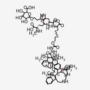 CC[C@@]1(O)CC2C[C@H](CNCCc3c([nH]c4ccccc34)[C@@]2(C(=O)OC)c2cc3c(cc2OC)N(C)[C@H]2[C@@](O)(C(=O)NNC(=O)OCCSSC[C@@H](NC(=O)[C@H](Cc4cn(CCO[C@@H]5OC(C(=O)O)C(O)[C@H](O)C5O)nn4)NC(=O)CC[C@H](NC)C(=O)O)C(=O)O)[C@H](O)[C@]4(CC)C=CCN5CC[C@]32[C@@H]54)C1